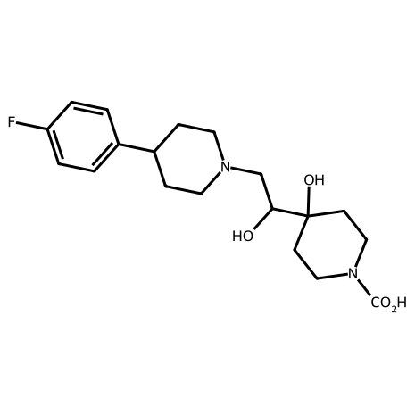 O=C(O)N1CCC(O)(C(O)CN2CCC(c3ccc(F)cc3)CC2)CC1